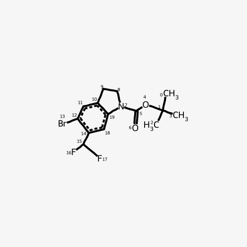 CC(C)(C)OC(=O)N1CCc2cc(Br)c(C(F)F)cc21